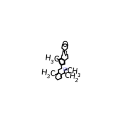 C=C(/C=C\C)C1=CCCC(C)=C1CCc1cc(C)c2c(c1)CCN(C1CCOCC1)C2